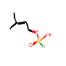 CC(C)=CCOP(=O)(O)Cl